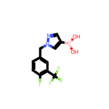 OB(O)c1cnn(Cc2ccc(F)c(C(F)(F)F)c2)c1